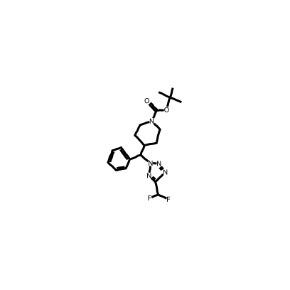 CC(C)(C)OC(=O)N1CCC(C(c2ccccc2)n2nnc(C(F)F)n2)CC1